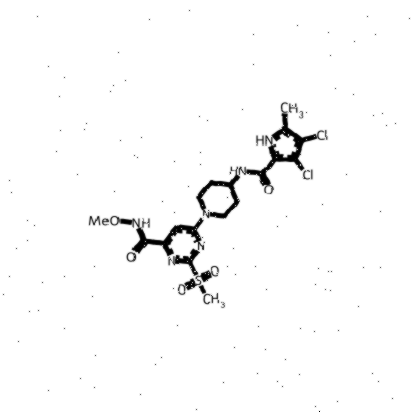 CONC(=O)c1cc(N2CCC(NC(=O)c3[nH]c(C)c(Cl)c3Cl)CC2)nc(S(C)(=O)=O)n1